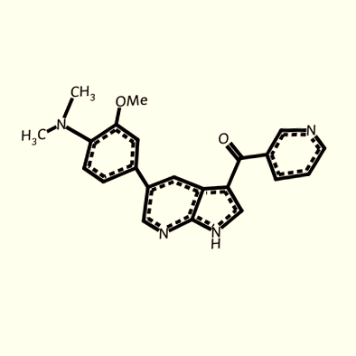 COc1cc(-c2cnc3[nH]cc(C(=O)c4cccnc4)c3c2)ccc1N(C)C